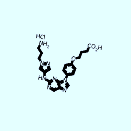 Cl.NCCCn1cc(Nc2ncc3ncn(-c4ccc(OCCCC(=O)O)cc4)c3n2)cn1